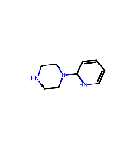 C1=CN[C](N2CCNCC2)C=C1